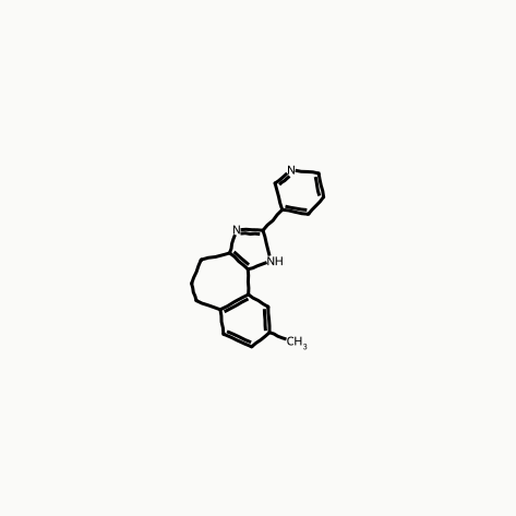 Cc1ccc2c(c1)-c1[nH]c(-c3cccnc3)nc1CCC2